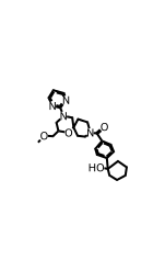 COCC1CN(c2ncccn2)CC2(CCN(C(=O)c3ccc(C4(O)CCCCC4)cc3)CC2)O1